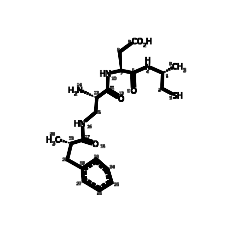 C[C@H](CS)NC(=O)[C@H](CC(=O)O)NC(=O)[C@@H](N)CNC(=O)[C@@H](C)Cc1ccccc1